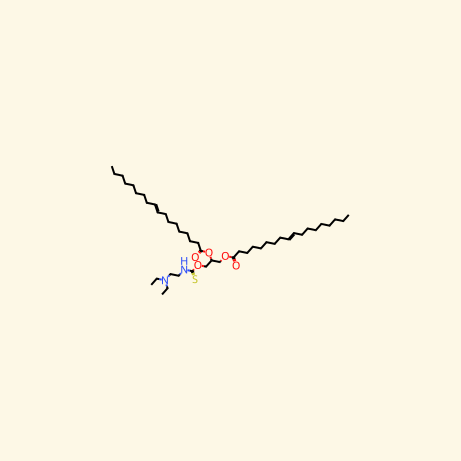 CCCCCCCCC=CCCCCCCCC(=O)OCC(COC(=S)NCCN(CC)CC)OC(=O)CCCCCCCC=CCCCCCCCC